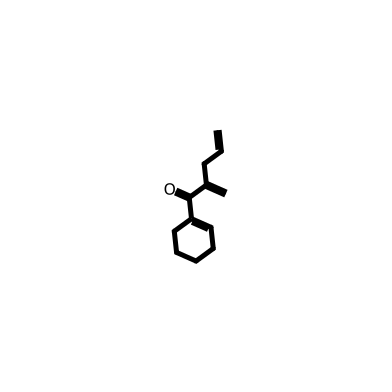 C=CCC(=C)C(=O)C1=CCCCC1